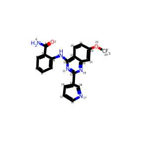 NC(=O)c1ccccc1Nc1nc(-c2cccnc2)nc2cc(OC(F)(F)F)ccc12